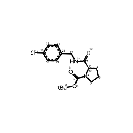 CC(C)(C)OC(=O)N1CCC[C@@H]1C(=O)NCc1ccc(Cl)cc1